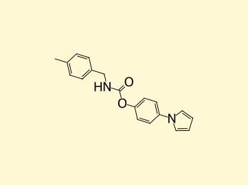 Cc1ccc(CNC(=O)Oc2ccc(-n3cccc3)cc2)cc1